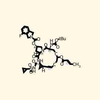 C/C=C/C(=O)OC1CC/C=C\[C@@H]2C[C@@]2(C(=O)NS(=O)(=O)C2CC2)NC(=O)[C@@H]2C[C@@H](OC(=O)N3Cc4cccc(F)c4C3)CN2C(=O)[C@@H](NC(=O)OC(C)(C)C)CC1